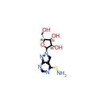 NSc1ncnc2nn(C3O[C@H](CO)[C@@H](O)[C@H]3O)cc12